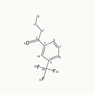 [CH2]CCC(=O)c1cccc(C(F)(F)F)c1